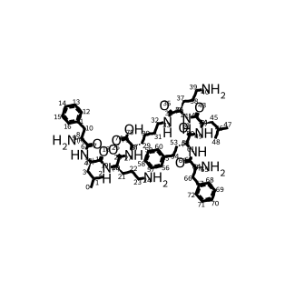 CC(C)C[C@@H](NC(=O)[C@H](N)Cc1ccccc1)C(=O)N[C@H](CCCN)C(=O)N[C@@H](CCCCNC(=O)[C@@H](CCCN)NC(=O)[C@@H](CC(C)C)NC(=O)[C@@H](CCc1ccccc1)NC(=O)[C@H](N)Cc1ccccc1)C(=O)O